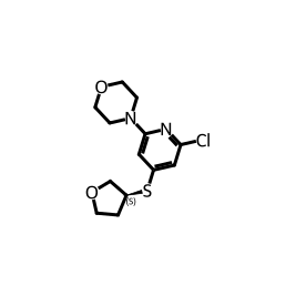 Clc1cc(S[C@H]2CCOC2)cc(N2CCOCC2)n1